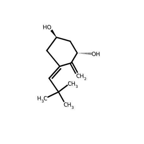 C=C1/C(=C\C(C)(C)C)C[C@@H](O)C[C@@H]1O